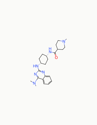 CN1CCC(C(=O)N[C@H]2CC[C@@H](Nc3nc(N(C)C)c4ccccc4n3)CC2)CC1